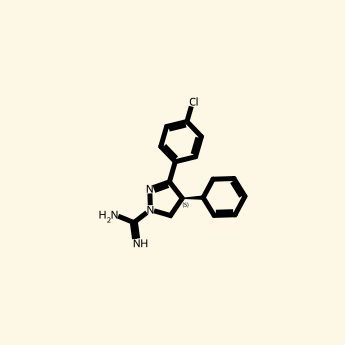 N=C(N)N1C[C@H](C2C=CC=CC2)C(c2ccc(Cl)cc2)=N1